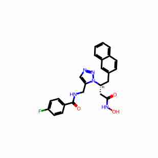 O=C(C[C@@H](Cc1ccc2ccccc2c1)n1nncc1CNC(=O)c1ccc(F)cc1)NO